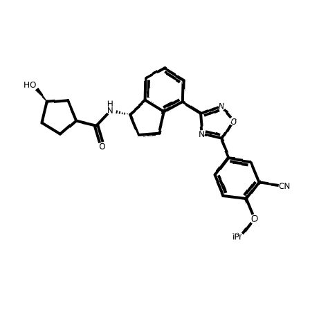 CC(C)Oc1ccc(-c2nc(-c3cccc4c3CC[C@@H]4NC(=O)C3CC[C@@H](O)C3)no2)cc1C#N